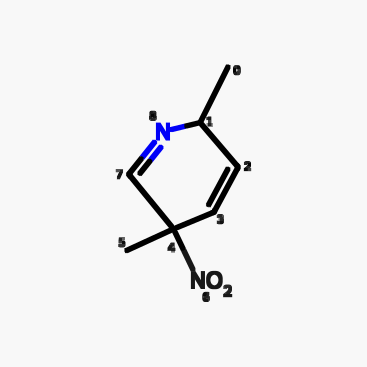 CC1C=CC(C)([N+](=O)[O-])C=N1